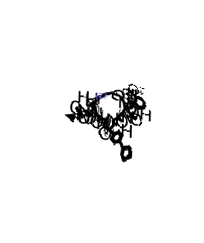 CO[C@@]1(c2ccc(-c3ccccc3)cc2)C[C@H]2C(=O)N[C@]3(C(=O)NS(=O)(=O)C4CC4)C[C@H]3/C=C\CCCN(S(=O)(=O)c3ccccc3[N+](=O)[O-])C[C@H](NC(=O)O)C(=O)N2C1